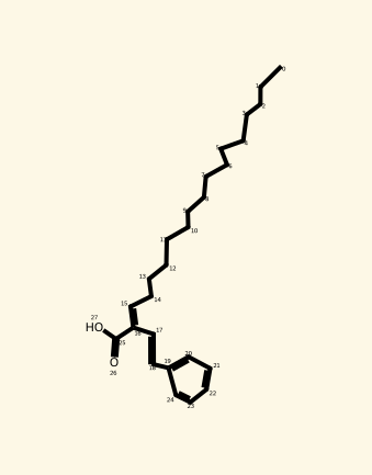 CCCCCCCCCCCCCCC/C=C(\C=C\c1ccccc1)C(=O)O